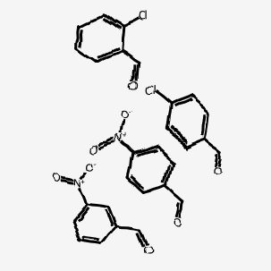 O=Cc1ccc(Cl)cc1.O=Cc1ccc([N+](=O)[O-])cc1.O=Cc1cccc([N+](=O)[O-])c1.O=Cc1ccccc1Cl